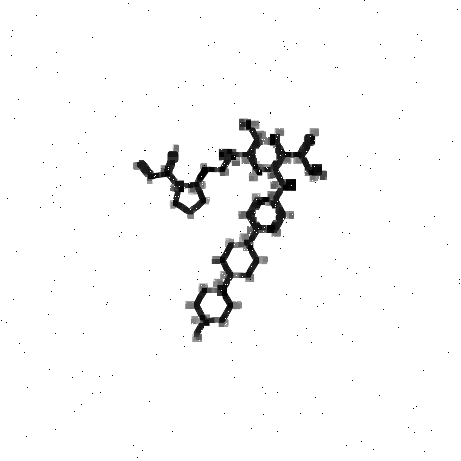 C=CC(=O)N1CCC[C@@H]1CCNc1nc(Nc2ccc(N3CCC(N4CCN(C)CC4)CC3)cc2)c(C(N)=O)nc1CC